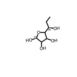 CC[C@@H](O)C1O[C@H](O)C(O)C1O